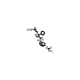 CC(=O)NC(C)(C)/C=C/n1ncc(C(=O)N[C@H]2C3CC4CC2C[C@](COC(N)=O)(C4)C3)c1-c1ccccc1